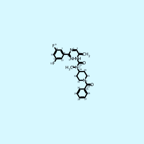 C=C(/C=N\C(=N)c1cc(F)cc(F)c1)NC(=O)N(C)C1CCN(C(=O)c2ccccc2)CC1